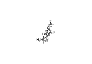 CNC(N)=NC(=O)c1cc2c(OC)cc(OCCN(C)C)cc2[nH]1